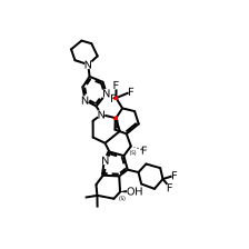 CC1(C)Cc2nc(C3CCN(c4ncc(N5CCCCC5)cn4)CC3)c([C@@H](F)C3=CCC(C(F)(F)F)C=C3)c(C3CCC(F)(F)CC3)c2[C@@H](O)C1